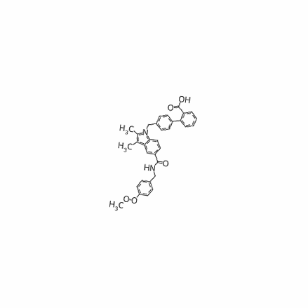 COOc1ccc(CNC(=O)c2ccc3c(c2)c(C)c(C)n3Cc2ccc(-c3ccccc3C(=O)O)cc2)cc1